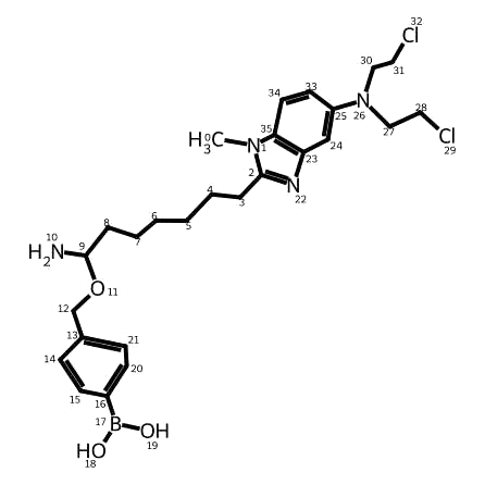 Cn1c(CCCCCCC(N)OCc2ccc(B(O)O)cc2)nc2cc(N(CCCl)CCCl)ccc21